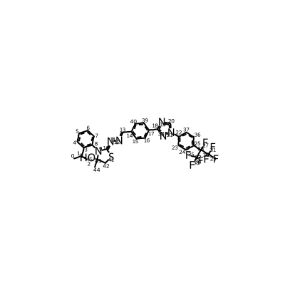 CC(C)c1ccccc1N1/C(=N/N=C/c2ccc(-c3ncn(-c4ccc(C(F)(C(F)(F)F)C(F)(F)F)cc4)n3)cc2)SCC1(C)O